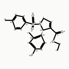 CCOC(=O)C1=CCN(S(=O)(=O)c2ccc(C)cc2)[C@H]1c1ccc(F)cc1C